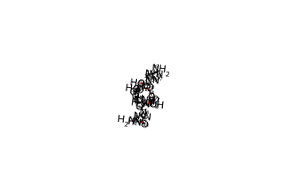 Nc1nc2c(ncn2[C@@H]2O[C@@H]3COP(=O)(O)O[C@@H]4C(COP(=O)(O)O[C@@H]2[C@@H]3N)O[C@@H](n2cnc3c(N)ncnc32)[C@@H]4O)c(=O)[nH]1